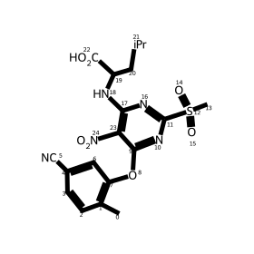 Cc1ccc(C#N)cc1Oc1nc(S(C)(=O)=O)nc(NC(CC(C)C)C(=O)O)c1[N+](=O)[O-]